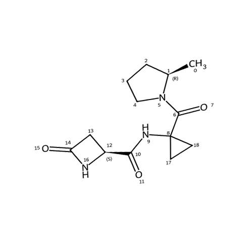 C[C@@H]1CCCN1C(=O)C1(NC(=O)[C@@H]2CC(=O)N2)CC1